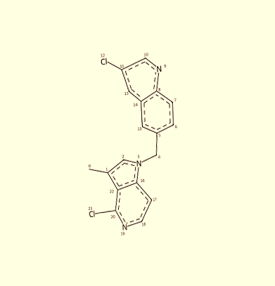 Cc1cn(Cc2ccc3ncc(Cl)cc3c2)c2ccnc(Cl)c12